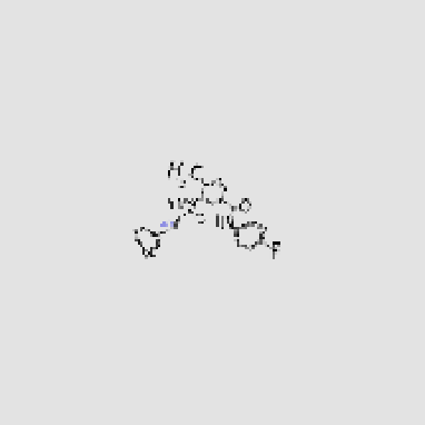 Cc1ccc(C(=O)Nc2ccc(F)cc2)cc1NC(=O)/C=C/c1cccnc1